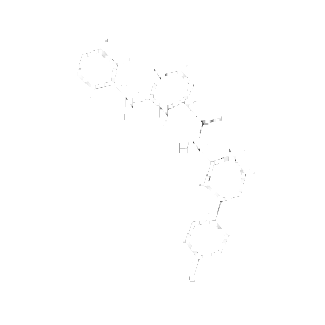 O=C(Nc1cc(-c2ccc(F)cc2)ccn1)c1ccnc(Nc2ccccc2)n1